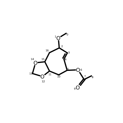 COC1/C=C/C(OC(C)=O)CC2OCOC2C1